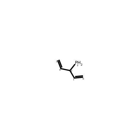 C=CC(P)C=C